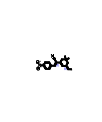 C/C=C1C=C(/C(C#N)=C/c2ccc([N+](=O)[O-])cc2)CC(C)(C)C/1